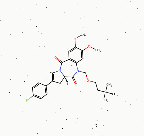 COc1cc2c(cc1OC)N(COCC[Si](C)(C)C)C(=O)[C@@H]1CC(c3ccc(F)cc3)=CN1C2=O